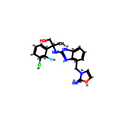 CC(CO)(Nc1nc2c(Cn3ccoc3=N)cccc2[nH]1)c1cccc(Cl)c1F